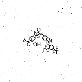 O=C1N=C(N2CCN(C(=O)C3CC3)[C@@H](CO)C2)S/C1=C\c1ccc2c(cnn2Cc2ccc(C(F)(F)F)cc2C(F)(F)F)c1